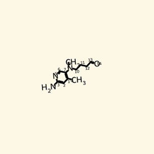 Cc1cc(N)ncc1N(C)CCCC=O